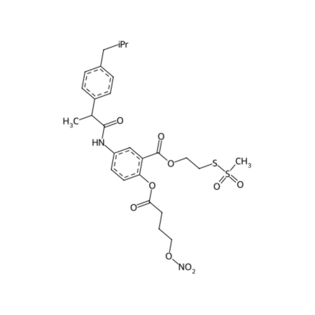 CC(C)Cc1ccc(C(C)C(=O)Nc2ccc(OC(=O)CCCO[N+](=O)[O-])c(C(=O)OCCSS(C)(=O)=O)c2)cc1